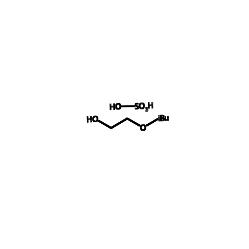 CCC(C)OCCO.O=S(=O)(O)O